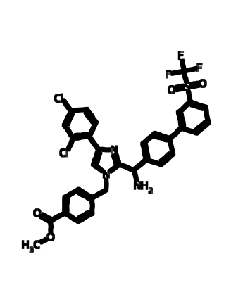 COC(=O)c1ccc(Cn2cc(-c3ccc(Cl)cc3Cl)nc2C(N)c2ccc(-c3cccc(S(=O)(=O)C(F)(F)F)c3)cc2)cc1